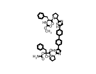 COC(=O)N[C@@H](Cc1ccccc1)C(=O)N1CCCC1c1ncc(-c2ccc(-c3ccc(-c4cnc([C@@H]5CCCN5C(=O)[C@@](C)(Cc5ccccc5)OC(N)=O)[nH]4)cc3)cc2)[nH]1